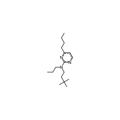 CCCCc1ccnc(N(CCC)CCC(C)(C)C)n1